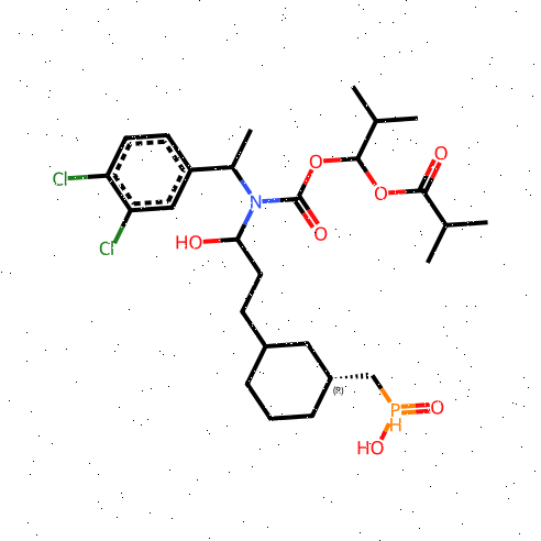 CC(C)C(=O)OC(OC(=O)N(C(O)CCC1CCC[C@@H](C[PH](=O)O)C1)C(C)c1ccc(Cl)c(Cl)c1)C(C)C